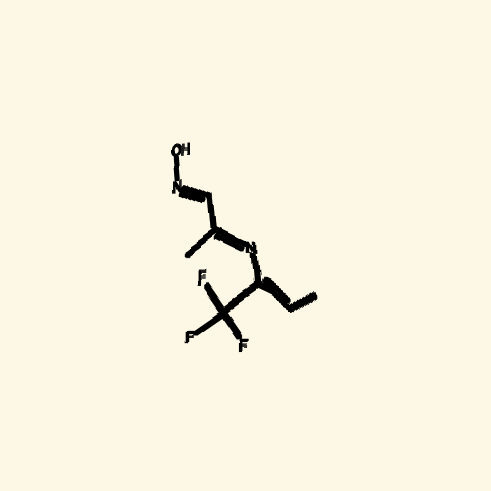 C\C=C(/N=C(C)/C=N/O)C(F)(F)F